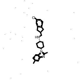 Cc1ccc2c(c1)nc(C)n2[C@H]1CC[C@@H](NCC2Cc3ccc(Cl)cc3C2)CC1